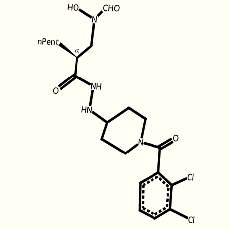 CCCCC[C@@H](CN(O)C=O)C(=O)NNC1CCN(C(=O)c2cccc(Cl)c2Cl)CC1